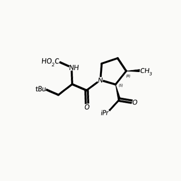 CC(C)C(=O)[C@@H]1[C@H](C)CCN1C(=O)C(CC(C)(C)C)NC(=O)O